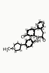 CN1CCC(c2ccc(NN3C(=O)Cc4cncnc4-c4ccc(Cl)cc43)cc2)CC1